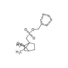 CC1(C)C2CCC1(CS(=O)(=O)OCc1ccccc1)C(=O)C2